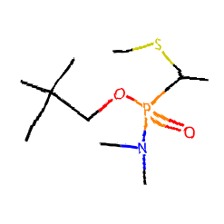 CSC(C)P(=O)(OCC(C)(C)C)N(C)C